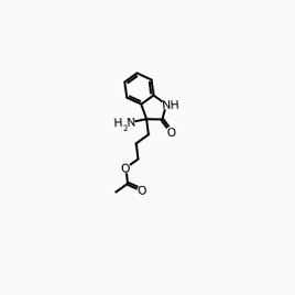 CC(=O)OCCCC1(N)C(=O)Nc2ccccc21